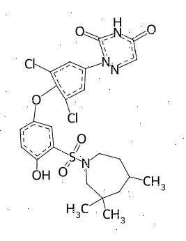 CC1CCN(S(=O)(=O)c2cc(Oc3c(Cl)cc(-n4ncc(=O)[nH]c4=O)cc3Cl)ccc2O)CC(C)(C)C1